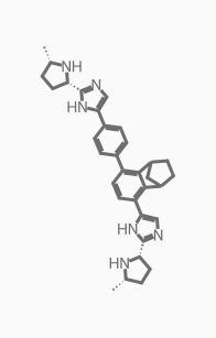 C[C@H]1CC[C@@H](c2ncc(-c3ccc(-c4ccc(-c5cnc([C@@H]6CC[C@H](C)N6)[nH]5)c5c4C4CCC5C4)cc3)[nH]2)N1